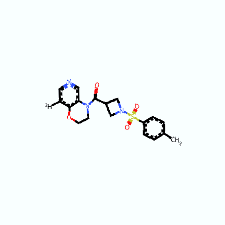 [2H]c1cncc2c1OCCN2C(=O)C1CN(S(=O)(=O)c2ccc(C)cc2)C1